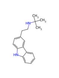 CC(C)(C)NCCc1ccc2[nH]c3ccccc3c2c1